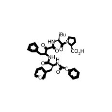 CC[C@H](C)[C@H](NC(=O)C(=O)C(Cc1ccccc1)NC(=O)[C@H](Cc1ccccc1)NC(=O)Cc1ccccc1)C(=O)N1CCC[C@H]1C(=O)O